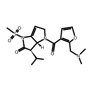 CC(C)[C@H]1C(=O)N(S(C)(=O)=O)C2=CCN(C(=O)c3ccoc3CN(C)C)[C@@H]21